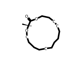 C[C@@H]1OCCCCCCCCCCCCCOC1=O